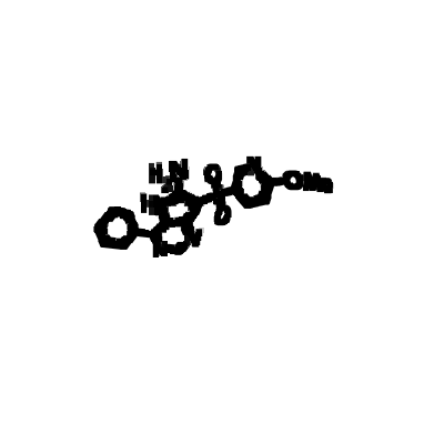 COc1ccc(S(=O)(=O)c2c(N)[nH]c3c(-c4ccccc4)ncnc23)cn1